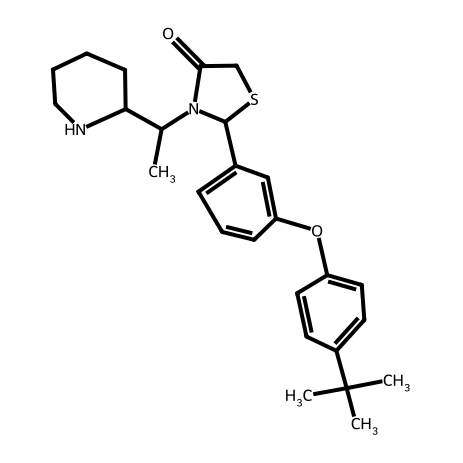 CC(C1CCCCN1)N1C(=O)CSC1c1cccc(Oc2ccc(C(C)(C)C)cc2)c1